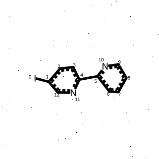 Ic1ccc(-c2ccccn2)nc1